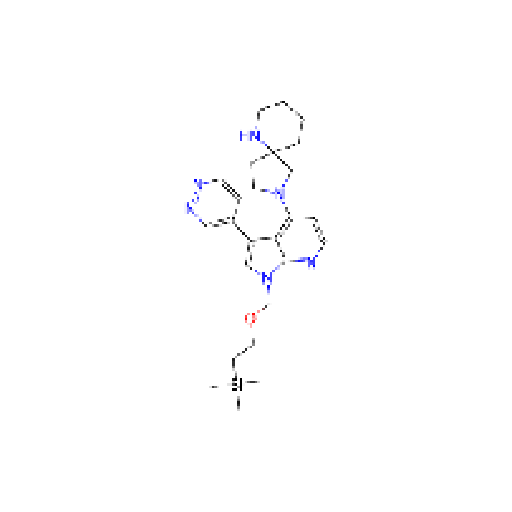 C[Si](C)(C)CCOCn1cc(-c2ccnnc2)c2c(N3CCC4(CCCCN4)C3)ccnc21